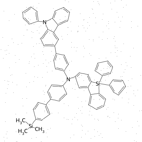 C[Si](C)(C)c1ccc(-c2ccc(N(c3ccc(-c4ccc5c(c4)c4ccccc4n5-c4ccccc4)cc3)c3ccc4c(c3)-c3ccccc3[Si]4(c3ccccc3)c3ccccc3)cc2)cc1